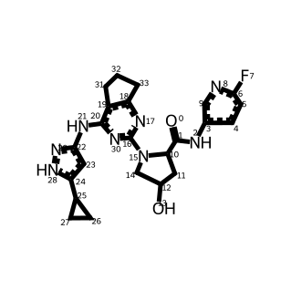 O=C(Nc1ccc(F)nc1)C1CC(O)CN1c1nc2c(c(Nc3cc(C4CC4)[nH]n3)n1)CCC2